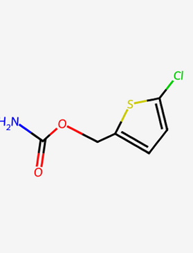 NC(=O)OCc1ccc(Cl)s1